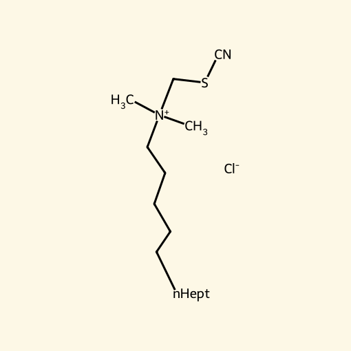 CCCCCCCCCCCC[N+](C)(C)CSC#N.[Cl-]